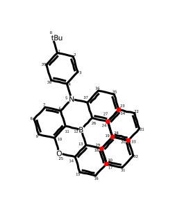 CC(C)(C)c1ccc(N2c3cccc4c3B(c3c(cccc3-c3ccccc3)O4)c3c(-c4ccccc4)cccc32)cc1